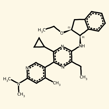 CCO[C@H]1Cc2ccccc2[C@H]1Nc1nc(C2CC2)c(-c2cnc(N(C)C)cc2C)nc1CC